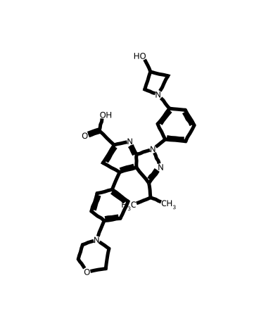 CC(C)c1nn(-c2cccc(N3CC(O)C3)c2)c2nc(C(=O)O)cc(-c3ccc(N4CCOCC4)cc3)c12